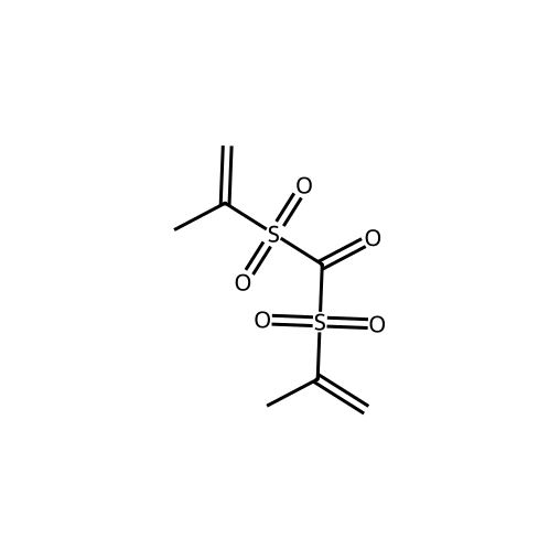 C=C(C)S(=O)(=O)C(=O)S(=O)(=O)C(=C)C